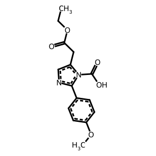 CCOC(=O)Cc1cnc(-c2ccc(OC)cc2)n1C(=O)O